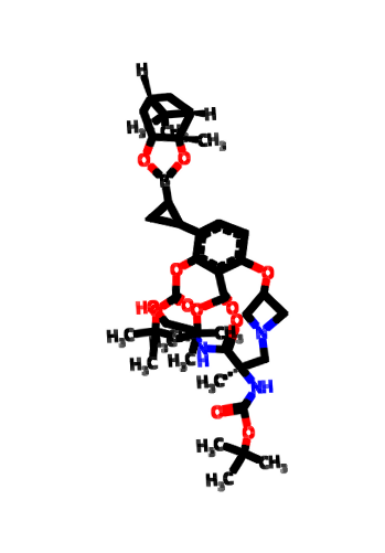 CC(C)(C)OC(=O)N[C@](C)(CN1CC(Oc2ccc(C3CC3B3OC4C[C@@H]5C[C@@H](C5(C)C)[C@]4(C)O3)c(OC(=O)OC(C)(C)C)c2C(=O)OC(C)(C)C)C1)C(=O)NCCO